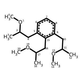 COC(C)Cc1cccc(CC(C)OC)c1CC(C)OC